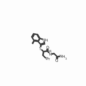 Cc1cccc2[nH]cc(SC(CC(C)C)C(=O)NCC(N)=O)c12